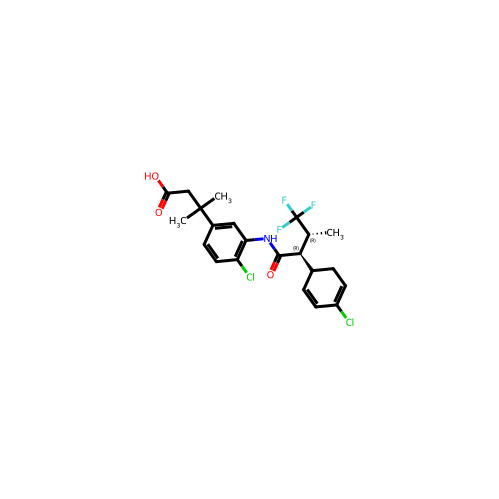 C[C@H]([C@H](C(=O)Nc1cc(C(C)(C)CC(=O)O)ccc1Cl)C1C=CC(Cl)=CC1)C(F)(F)F